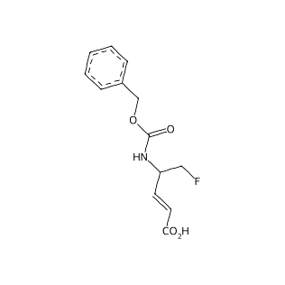 O=C(O)C=CC(CF)NC(=O)OCc1ccccc1